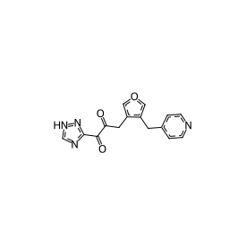 O=C(Cc1cocc1Cc1ccncc1)C(=O)c1nc[nH]n1